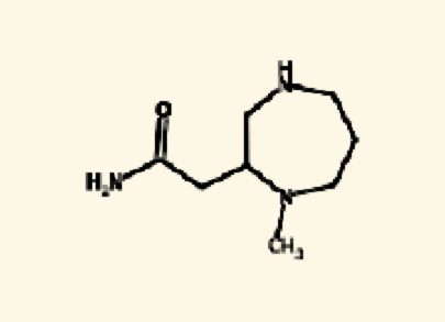 CN1CCCNCC1CC(N)=O